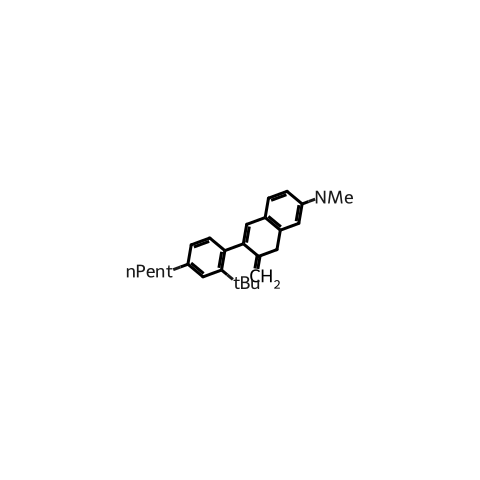 C=C1Cc2cc(NC)ccc2C=C1c1ccc(CCCCC)cc1C(C)(C)C